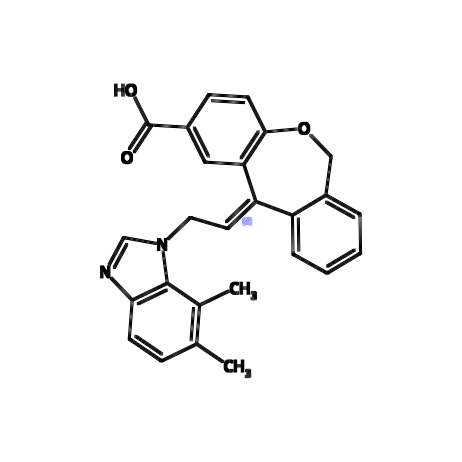 Cc1ccc2ncn(C/C=C3/c4ccccc4COc4ccc(C(=O)O)cc43)c2c1C